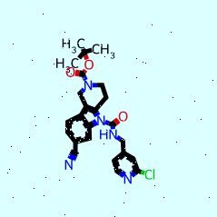 CC(C)(C)OC(=O)N1CCc2c(c3ccc(C#N)cc3n2C(=O)NCc2ccnc(Cl)c2)C1